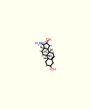 C[C@]12CCC(O)CC1=CC[C@@H]1[C@H]2CC[C@]2(C)C(N)C(O)C[C@@H]12